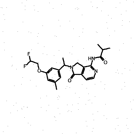 Cc1cc(OCC(F)F)cc(C(C)N2Cc3c(ccnc3NC(=O)C(C)C)C2=O)c1